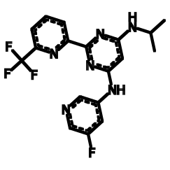 CC(C)Nc1cc(Nc2cncc(F)c2)nc(-c2cccc(C(F)(F)F)n2)n1